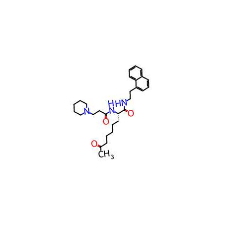 CC(=O)CCCCC[C@H](NC(=O)CCN1CCCCC1)C(=O)NCCc1cccc2ccccc12